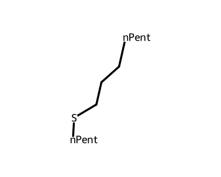 [CH2]CCCCCCCSCCCCC